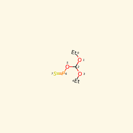 CCO[C](OCC)OP=S